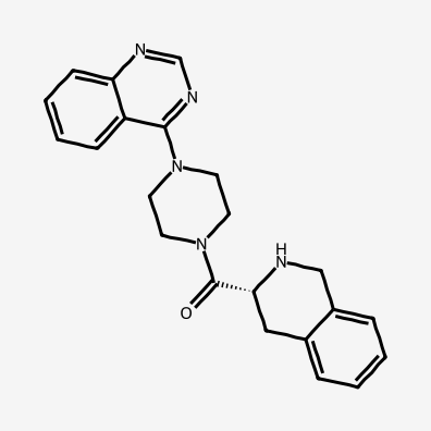 O=C([C@H]1Cc2ccccc2CN1)N1CCN(c2ncnc3ccccc23)CC1